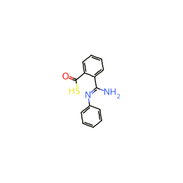 NC(=Nc1ccccc1)c1ccccc1C(=O)S